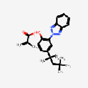 C=C(C)C(=O)O.CC(C)(C)CC(C)(C)c1ccc(O)c(-n2nc3ccccc3n2)c1